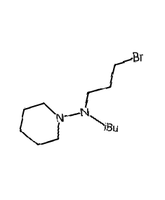 CCC(C)N(CCCBr)N1CCCCC1